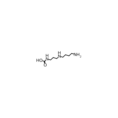 NCCCCNCCCNC(=O)O